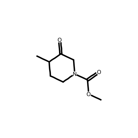 COC(=O)N1CCC(C)C(=O)C1